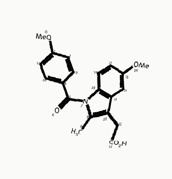 COc1ccc(C(=O)n2c(C)c(CC(=O)O)c3cc(OC)ccc32)cc1